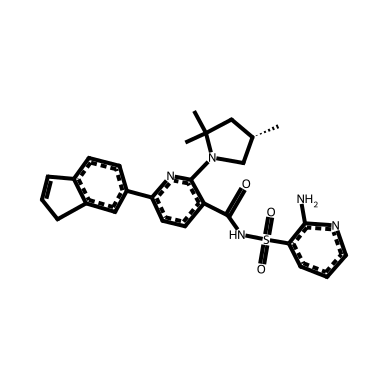 C[C@@H]1CN(c2nc(-c3ccc4c(c3)CC=C4)ccc2C(=O)NS(=O)(=O)c2cccnc2N)C(C)(C)C1